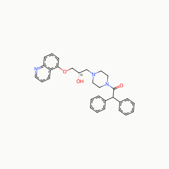 O=C(C(c1ccccc1)c1ccccc1)N1CCN(C[C@H](O)COc2cccc3ncccc23)CC1